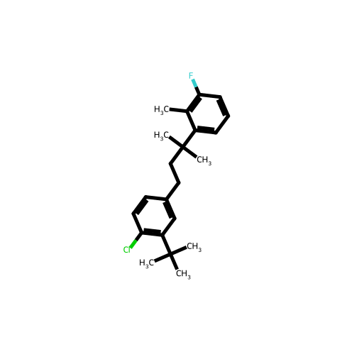 Cc1c(F)cccc1C(C)(C)CCc1ccc(Cl)c(C(C)(C)C)c1